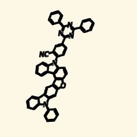 N#Cc1cc(-c2nc(-c3ccccc3)nc(-c3ccccc3)n2)ccc1-n1c2ccccc2c2c3c(ccc21)oc1cc2c(cc13)c1ccccc1n2-c1ccccc1